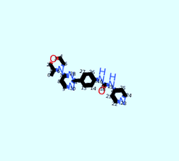 CC1COCCN1c1ccnc(-c2ccc(NC(=O)Nc3ccncc3)cc2)n1